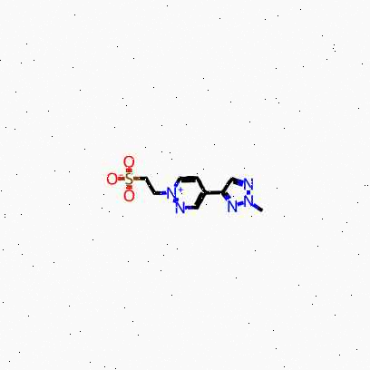 Cn1ncc(-c2cc[n+](CCS(=O)(=O)[O-])nc2)n1